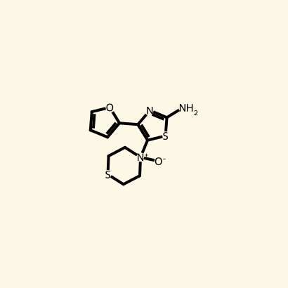 Nc1nc(-c2ccco2)c([N+]2([O-])CCSCC2)s1